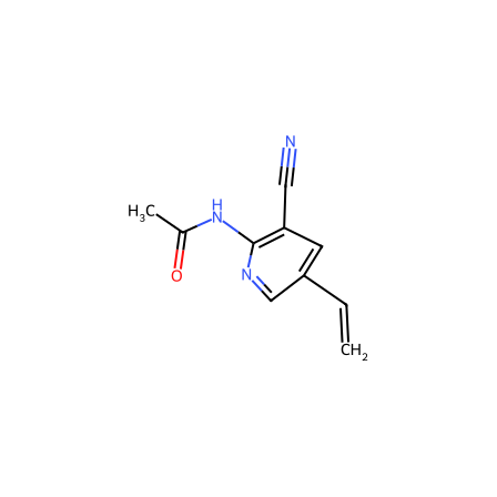 C=Cc1cnc(NC(C)=O)c(C#N)c1